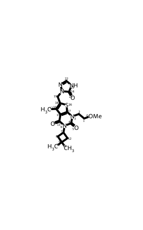 COCCn1c(=O)n(C2CC(C)(C)C2)c(=O)c2c(C)c(Cn3nc[nH]c3=O)sc21